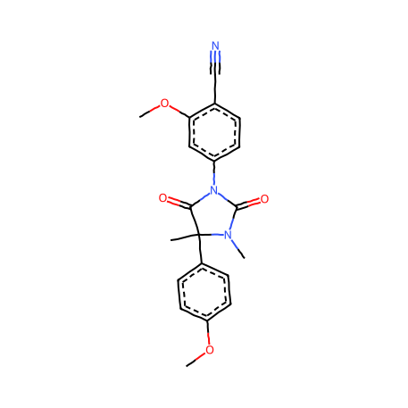 COc1ccc(C2(C)C(=O)N(c3ccc(C#N)c(OC)c3)C(=O)N2C)cc1